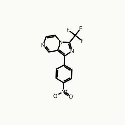 O=[N+]([O-])c1ccc(-c2nc(C(F)(F)F)n3ccncc23)cc1